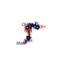 CCc1c2c(nc3ccc(O)cc13)/C(=C/C1=C(C)COC(=O)[C@@]1(CC)OC(=O)OCc1ccc(NC(=O)CNC)cc1)N(C=O)C2